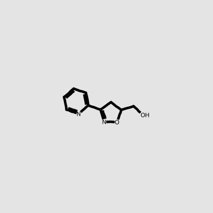 OCC1CC(c2ccccn2)=NO1